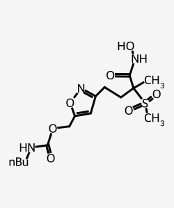 CCCCNC(=O)OCc1cc(CCC(C)(C(=O)NO)S(C)(=O)=O)no1